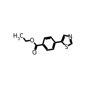 CCOC(=O)c1ccc(-c2cncs2)cc1